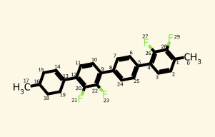 Cc1ccc(-c2ccc(-c3ccc(C4=CCC(C)CC4)c(F)c3F)cc2)c(F)c1F